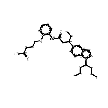 CCCC(CCC)n1ccc2cc(C(CC)CC(=O)Nc3ccccc3OCCCC(=O)O)ccc21